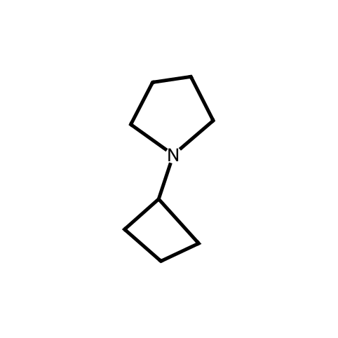 C1CC(N2CCCC2)C1